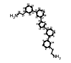 NCCc1cccc(-c2cncc(-c3ccc(-c4cncc(-c5cccc(CCN)c5)c4)s3)c2)c1